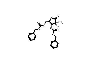 C[C@@]1(O)C(=O)O[C@H](COC(=O)OCc2ccccc2)[C@H]1OC(=O)OCc1ccccc1